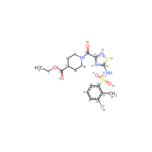 CCOC(=O)C1CCN(C(=O)c2nsc(NS(=O)(=O)c3cccc(Cl)c3C)n2)CC1